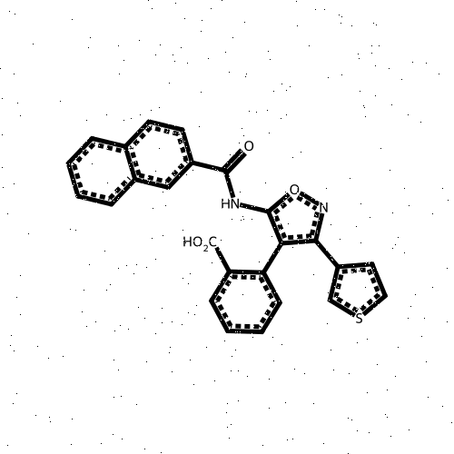 O=C(Nc1onc(-c2ccsc2)c1-c1ccccc1C(=O)O)c1ccc2ccccc2c1